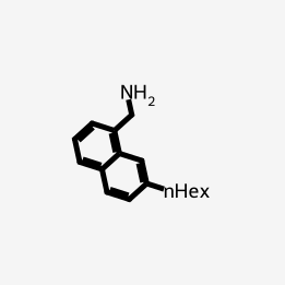 CCCCCCc1ccc2cccc(CN)c2c1